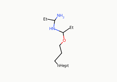 CCCCCCCCCCOC(CC)NC(N)CC